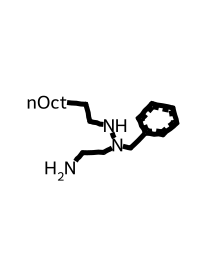 CCCCCCCCCCNN(CCN)Cc1ccccc1